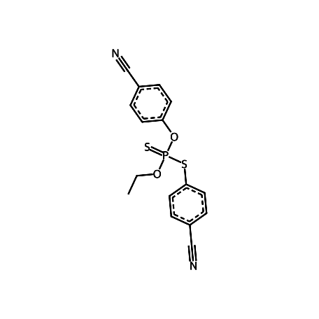 CCOP(=S)(Oc1ccc(C#N)cc1)Sc1ccc(C#N)cc1